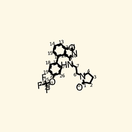 O=C1CCCN1CCNc1noc2cccc(-c3ccc(OC(F)(F)F)cc3)c12